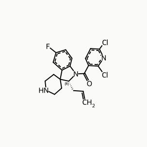 C=CC[C@H]1N(C(=O)c2ccc(Cl)nc2Cl)c2ccc(F)cc2C12CCNCC2